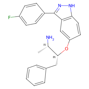 C[C@H](N)[C@@H](Cc1ccccc1)Oc1ccc2[nH]nc(-c3ccc(F)cc3)c2c1